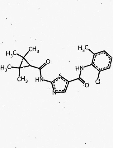 Cc1cccc(Cl)c1NC(=O)c1cnc(NC(=O)C2C(C)(C)C2(C)C)s1